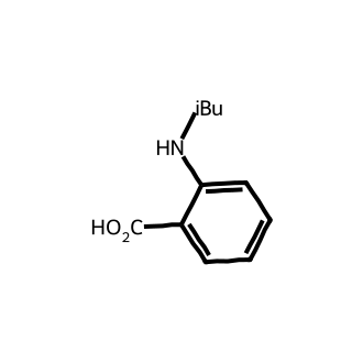 CCC(C)Nc1ccccc1C(=O)O